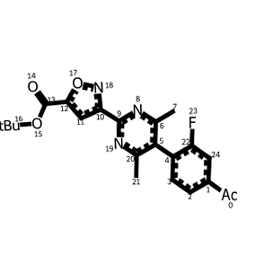 CC(=O)c1ccc(-c2c(C)nc(-c3cc(C(=O)OC(C)(C)C)on3)nc2C)c(F)c1